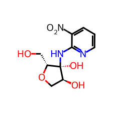 O=[N+]([O-])c1cccnc1N[C@@]1(O)[C@@H](O)CO[C@@H]1CO